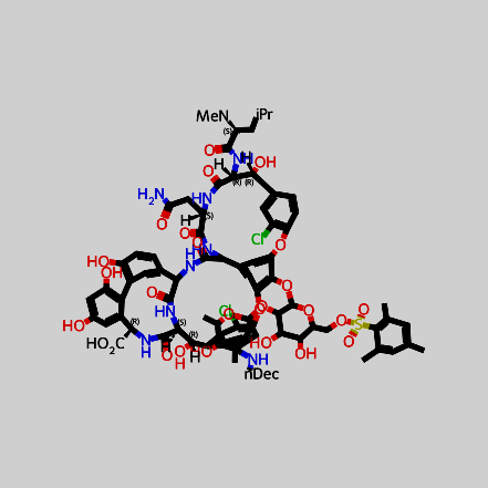 CCCCCCCCCCNC1(C)CC(OC2C(Oc3c4cc5cc3Oc3ccc(cc3Cl)[C@@H](O)[C@@H](NC(=O)[C@H](CC(C)C)NC)C(=O)N[C@@H](CC(N)=O)C(=O)NC5C(=O)NC3C(=O)N[C@H](C(=O)N[C@@H](C(=O)O)c5cc(O)cc(O)c5-c5cc3ccc5O)[C@H](O)c3ccc(c(Cl)c3)O4)OC(COS(=O)(=O)c3c(C)cc(C)cc3C)C(O)C2O)OC(C)C1O